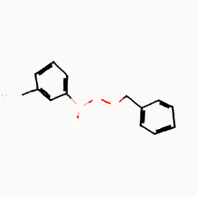 COc1cccc(B(O)OOCc2ccccc2)c1